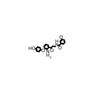 COc1cccc(C(=O)NCCC(=O)c2cccc(Oc3ccc(O)cc3)c2N)c1